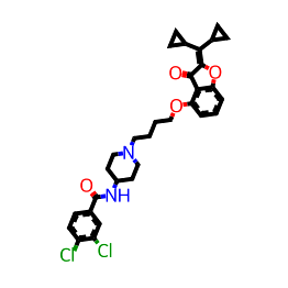 O=C(NC1CCN(CCCCOc2cccc3c2C(=O)C(=C(C2CC2)C2CC2)O3)CC1)c1ccc(Cl)c(Cl)c1